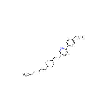 CCCCCCC1CCC(CCc2ccc(-c3ccc(CC)cc3)nc2)CC1